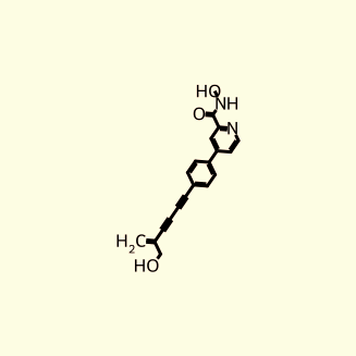 C=C(C#CC#Cc1ccc(-c2ccnc(C(=O)NO)c2)cc1)CO